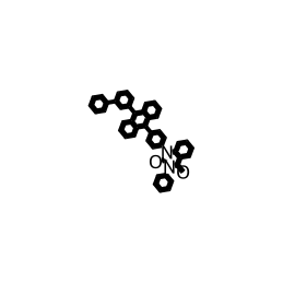 O=c1c2ccccc2n(-c2ccc(-c3c4ccccc4c(-c4cccc(-c5ccccc5)c4)c4ccccc34)cc2)c(=O)n1-c1ccccc1